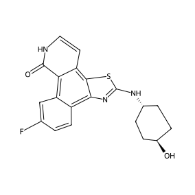 O=c1[nH]ccc2c3sc(N[C@H]4CC[C@H](O)CC4)nc3c3ccc(F)cc3c12